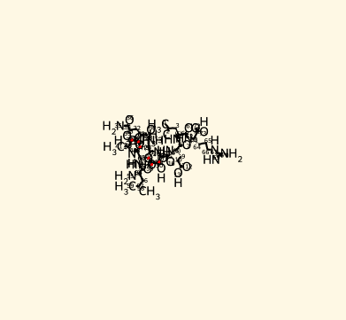 CC(C)C[C@H](NC(=O)[C@H](CCC(=O)O)NC(=O)[C@H](CO)NC(=O)[C@H](CC(C)C)NC(=O)[C@H](CCC(N)=O)NC(=O)[C@H](C)NC(=O)[C@H](CCC(=O)O)NC(=O)[C@@H](N)CC(C)C)C(=O)N[C@@H](CCCNC(=N)N)C(=O)O